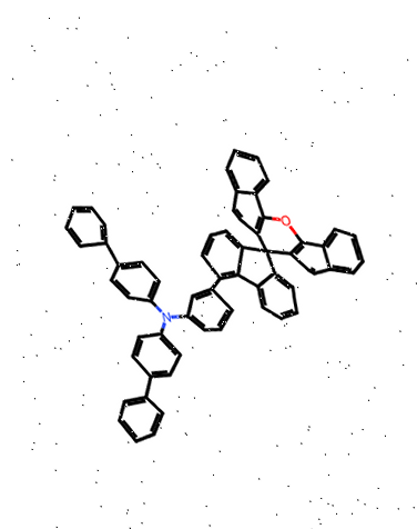 c1ccc(-c2ccc(N(c3ccc(-c4ccccc4)cc3)c3cccc(-c4cccc5c4-c4ccccc4C54c5ccc6ccccc6c5Oc5c4ccc4ccccc54)c3)cc2)cc1